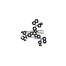 CCCCCCC1(CCCCCC)c2cc(C(c3ccc4c(c3)CC4)c3cccc4ccccc34)ccc2-c2c1c1c(c3c2C(CCCCCC)(CCCCCC)c2cc(N(c4ccc5c(c4)CC5)c4cccc5ccccc45)ccc2-3)C(CCCCCC)(CCCCCC)c2cc(N(c3ccc4c(c3)CC4)c3cccc4ccccc34)ccc2-1